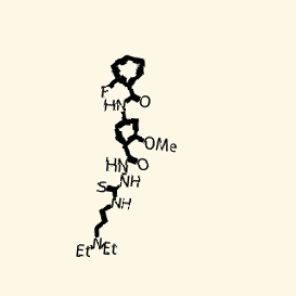 CCN(CC)CCCNC(=S)NNC(=O)c1ccc(NC(=O)c2ccccc2F)cc1OC